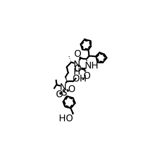 COC(=O)N[C@H](C(=O)N[C@@H](C)CCC[C@@H](CO)N(C(C)C)S(=O)(=O)c1ccc(CO)cc1)C(c1ccccc1)c1ccccc1